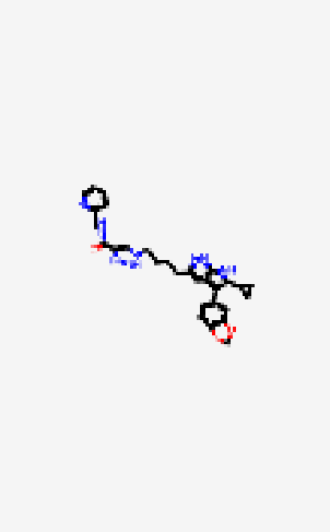 O=C(NCc1ccccn1)C1=CN(CCCCc2cc3c(-c4ccc5c(c4)OCO5)c(C4CC4)[nH]c3nn2)NN1